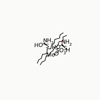 CCCCCCCCCCCCC.CCCCCCCCCCCCC.NC(O)=S.NC(O)=S.O=S(=O)(O)[O][Mo]